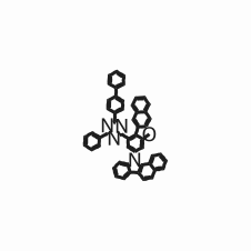 c1ccc(-c2ccc(-c3nc(-c4ccccc4)nc(-c4cc(-n5c6ccccc6c6ccc7ccccc7c65)cc5oc6cc7ccccc7cc6c45)n3)cc2)cc1